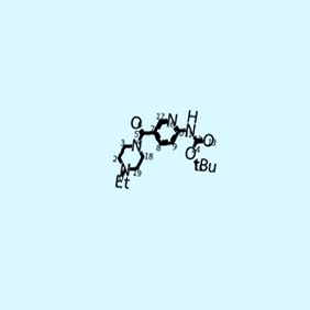 CCN1CCN(C(=O)c2ccc(NC(=O)OC(C)(C)C)nc2)CC1